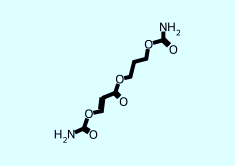 NC(=O)OC=CC(=O)OCCCOC(N)=O